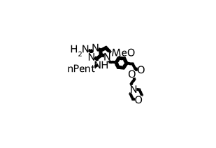 CCCCCNc1nc(N)nc2ccn(Cc3ccc(CC(=O)OCCN4CCOCC4)cc3OC)c12